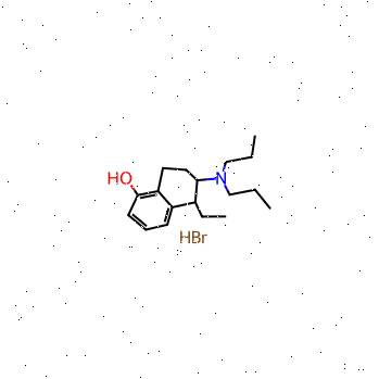 Br.CCCN(CCC)C1CCc2c(O)cccc2C1CC